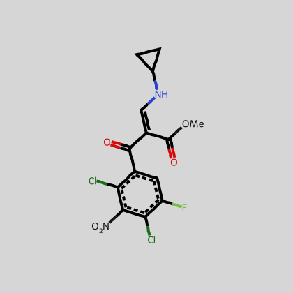 COC(=O)C(=CNC1CC1)C(=O)c1cc(F)c(Cl)c([N+](=O)[O-])c1Cl